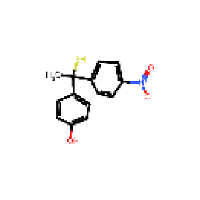 CC(S)(c1ccc(O)cc1)c1ccc([N+](=O)[O-])cc1